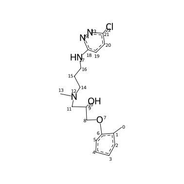 Cc1ccccc1OCC(O)CN(C)CCCNc1ccc(Cl)nn1